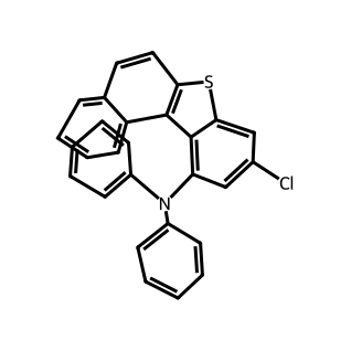 Clc1cc(N(c2ccccc2)c2ccccc2)c2c(c1)sc1ccc3ccccc3c12